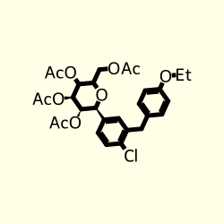 CCOc1ccc(Cc2cc([C@@H]3OC(COC(C)=O)C(OC(C)=O)[C@H](OC(C)=O)[C@H]3OC(C)=O)ccc2Cl)cc1